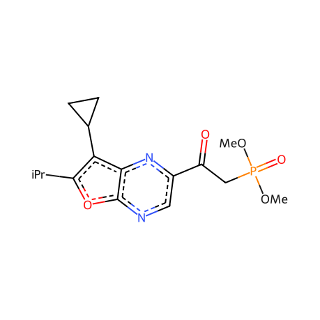 COP(=O)(CC(=O)c1cnc2oc(C(C)C)c(C3CC3)c2n1)OC